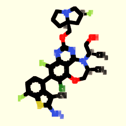 C[C@@H](CO)N1c2nc(OC[C@@]34CCCN3C[C@H](F)C4)nc3c(F)c(-c4ccc(F)c5sc(N)c(C#N)c45)c(Cl)c(c23)OC[C@@H]1C